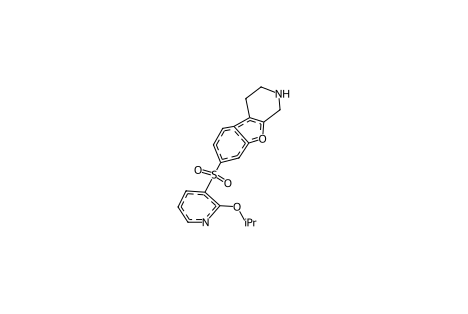 CC(C)Oc1ncccc1S(=O)(=O)c1ccc2c3c(oc2c1)CNCC3